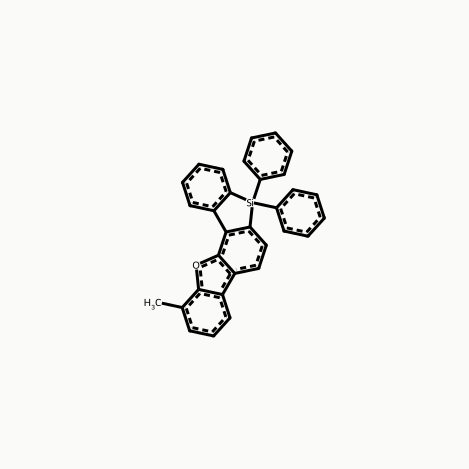 Cc1cccc2c1oc1c3c(ccc12)[Si](c1ccccc1)(c1ccccc1)c1ccccc1-3